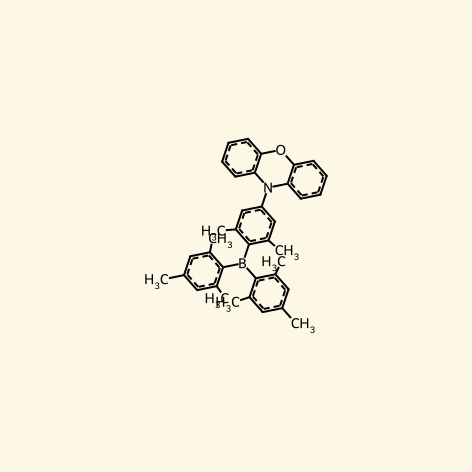 Cc1cc(C)c(B(c2c(C)cc(C)cc2C)c2c(C)cc(N3c4ccccc4Oc4ccccc43)cc2C)c(C)c1